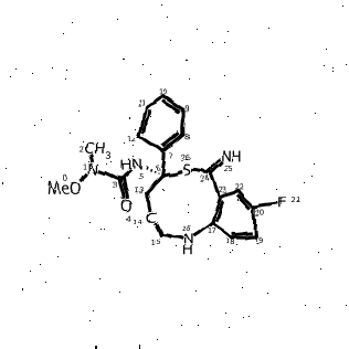 CON(C)C(=O)N[C@@]1(c2ccccc2)CCCNc2ccc(F)cc2C(=N)S1